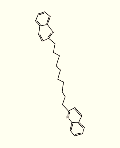 c1ccc2nc(CCCCCCCCCCc3ccc4ccccc4n3)ccc2c1